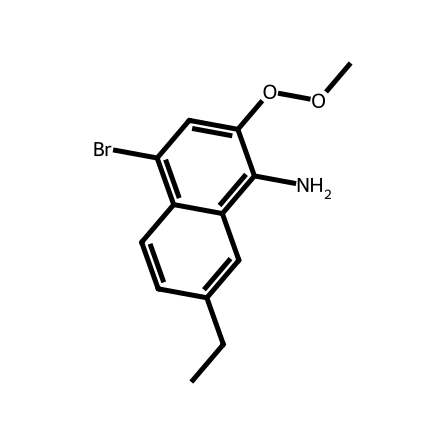 CCc1ccc2c(Br)cc(OOC)c(N)c2c1